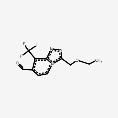 CCOCc1nnc2c(C(F)(F)F)c(C=O)ccn12